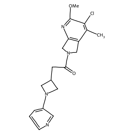 COc1nc2c(c(C)c1Cl)CN(C(=O)CC1CN(c3cccnc3)C1)C2